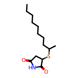 CCCCCCCCC(C)SC1CC(=O)NC1=O